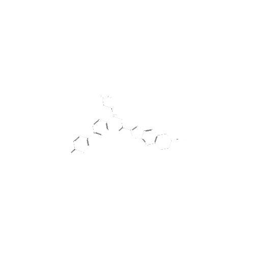 CNCC[C@@H](NC(=O)c1cc2cc3c(nc2s1)CC[C@H](C(C)(C)C)C3)c1ccc(-c2ccc(=O)[nH]c2)cc1